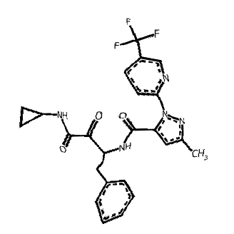 Cc1cc(C(=O)NC(Cc2ccccc2)C(=O)C(=O)NC2CC2)n(-c2ccc(C(F)(F)F)cn2)n1